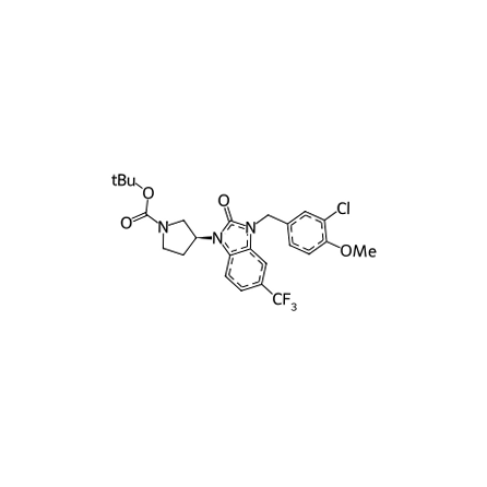 COc1ccc(Cn2c(=O)n([C@H]3CCN(C(=O)OC(C)(C)C)C3)c3ccc(C(F)(F)F)cc32)cc1Cl